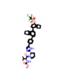 COC(=O)N[C@H](C(=O)N1CCC[C@H]1c1ncc(-c2ccc(-c3ccc(-c4ccc(OS(=O)(=O)C(F)(F)F)c5c4C4CCC5C4)c4c3C3CCC4C3)cc2)[nH]1)C(C)C